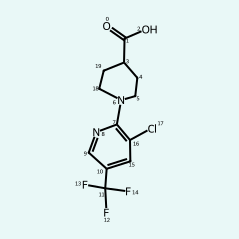 O=C(O)C1CCN(c2ncc(C(F)(F)F)cc2Cl)CC1